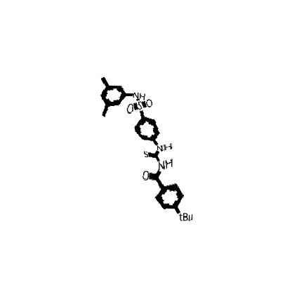 Cc1cc(C)cc(NS(=O)(=O)c2ccc(NC(=S)NC(=O)c3ccc(C(C)(C)C)cc3)cc2)c1